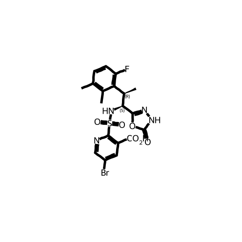 Cc1ccc(F)c([C@@H](C)[C@H](NS(=O)(=O)c2ncc(Br)cc2C(=O)O)c2n[nH]c(=O)o2)c1C